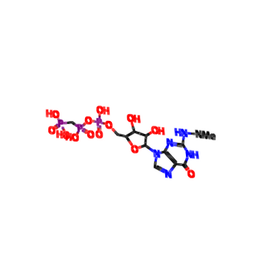 CNNc1nc2c(ncn2C2OC(COP(=O)(O)OP(=O)(O)CP(=O)(O)O)C(O)C2O)c(=O)[nH]1